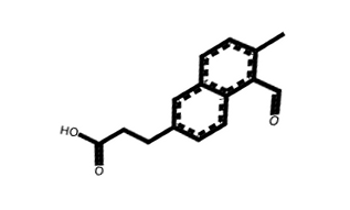 Cc1ccc2cc(CCC(=O)O)ccc2c1C=O